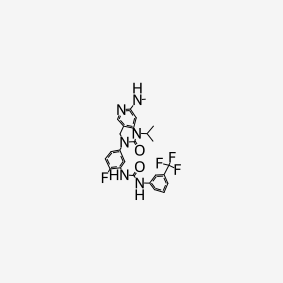 CNc1cc2c(cn1)CN(c1ccc(F)c(NC(=O)Nc3cccc(C(F)(F)F)c3)c1)C(=O)N2C(C)C